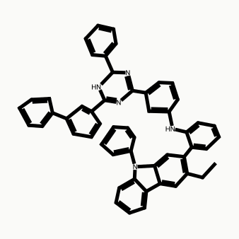 CCc1cc2c3ccccc3n(-c3ccccc3)c2cc1-c1ccccc1Nc1cccc(C2=NC(c3ccccc3)NC(c3cccc(-c4ccccc4)c3)=N2)c1